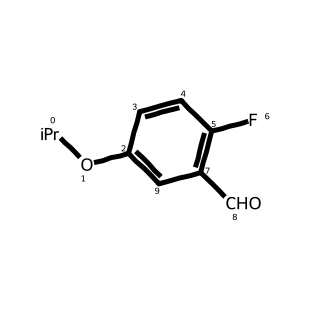 CC(C)Oc1ccc(F)c(C=O)c1